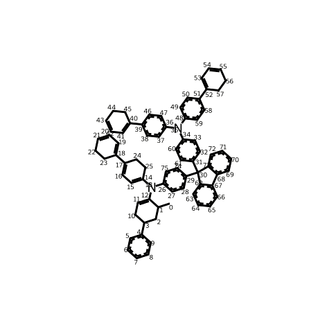 CC1CC(c2ccccc2)CC=C1N(C1=CC=C(C2=CC=CCC2)CC1)c1ccc(C2(c3ccc(N(c4ccc(C5=CC=CCC5)cc4)c4ccc(C5=CC=CCC5)cc4)cc3)c3ccccc3-c3ccccc32)cc1